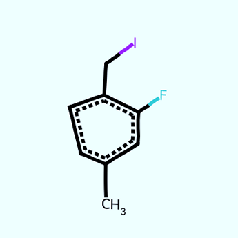 Cc1ccc(CI)c(F)c1